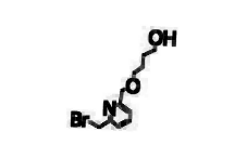 OCCCCOCc1cccc(CBr)n1